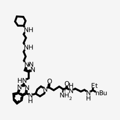 CCCCC(CC)NCCCNC(=O)[C@@H](N)CCC(=O)N1CCC(Nc2nc(NCc3cn(CCCNCCCNC4CCCCC4)nn3)nc3ccccc23)CC1